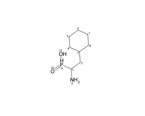 NC(CC1CCCCC1)[PH](=O)O